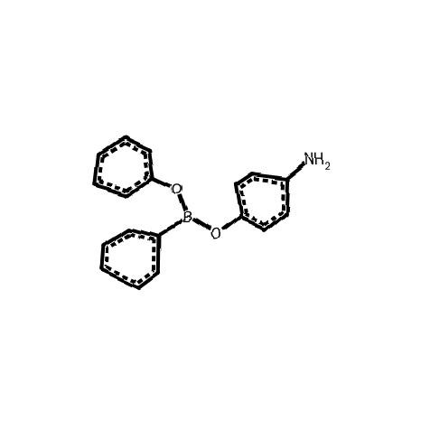 Nc1ccc(OB(Oc2ccccc2)c2ccccc2)cc1